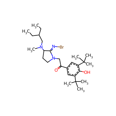 CCC(CC)CN(C)C1CCN(CC(=O)c2cc(C(C)(C)C)c(O)c(C(C)(C)C)c2)/C1=N\Br